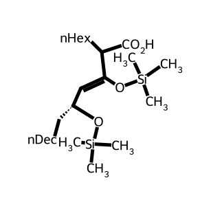 CCCCCCCCCCC[C@H](C=C(O[Si](C)(C)C)C(CCCCCC)C(=O)O)O[Si](C)(C)C